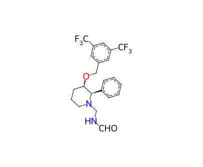 O=CNCN1CCC[C@@H](OCc2cc(C(F)(F)F)cc(C(F)(F)F)c2)[C@H]1c1ccccc1